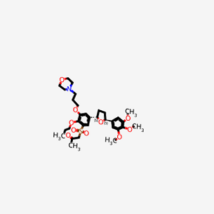 CCCOc1c(OCCCN2CCOCC2)cc([C@@H]2CC[C@@H](c3cc(OC)c(OC)c(OC)c3)O2)cc1S(=O)(=O)CC(C)=O